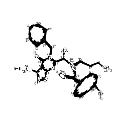 CC[C@H](c1nc2snc(C)c2c(=O)n1Cc1ccccc1)N(CCCN)C(=O)c1ccc(Br)cc1